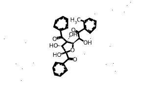 Cc1ccccc1C(=O)C(O)[C@H]1OC(O)(C(=O)c2ccccc2)[C@H](O)[C@@]1(O)C(=O)c1ccccc1